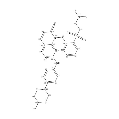 CN(C)CCS(=O)(=O)c1ccccc1Cn1c(=O)ccc2cnc(Nc3ccc(N4CCN(C)CC4)cc3)nc21